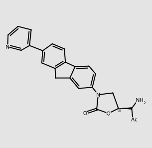 CC(=O)C(N)[C@@H]1CN(c2ccc3c(c2)Cc2cc(-c4cccnc4)ccc2-3)C(=O)O1